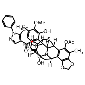 COc1c(C)cc2c(c1O)[C@@H]1[C@@H]3[C@@H]4SCC(NC(=O)c5cnn(-c6ccccc6)c5C(F)(F)F)C(=O)OC[C@@H](c5c6c(c(C)c(OC(C)=O)c54)OCO6)N3[C@@H](O)[C@H](C2)N1C